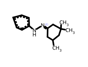 CC1C/C(=N\Nc2ccccc2)CC(C)(C)C1